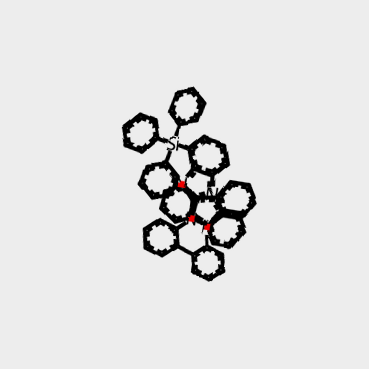 c1ccc([Si](c2ccccc2)(c2ccccc2)c2cccc3c2nc2n(-c4ccccc4-c4ccccc4-n4c5ccccc5c5ccccc54)c4ccccc4n32)cc1